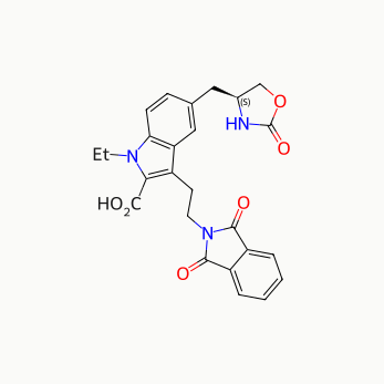 CCn1c(C(=O)O)c(CCN2C(=O)c3ccccc3C2=O)c2cc(C[C@H]3COC(=O)N3)ccc21